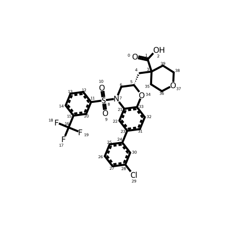 O=C(O)C1(C[C@H]2CN(S(=O)(=O)c3cccc(C(F)(F)F)c3)c3cc(-c4cccc(Cl)c4)ccc3O2)CCOCC1